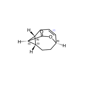 O=C1O[C@H]2/C=C\C[C@@H]3[C@H](CC2)[C@H]13